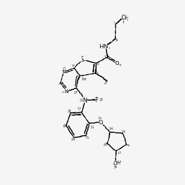 Cc1c(C(=O)NCCO)sc2ncnc(N(F)c3ccccc3OC3CCC(O)C3)c12